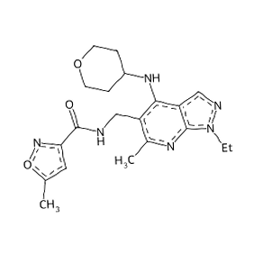 CCn1ncc2c(NC3CCOCC3)c(CNC(=O)c3cc(C)on3)c(C)nc21